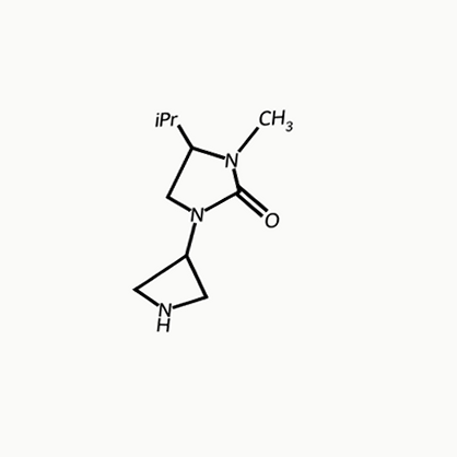 CC(C)C1CN(C2CNC2)C(=O)N1C